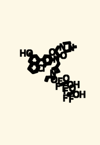 C=CC(=O)N1CC(CN2C(=O)C(CN3CCN(C)CC3)Oc3cc(-c4cc(O)cc5ccccc45)c(Cl)cc32)C1.O=C(O)C(F)(F)F.O=C(O)C(F)(F)F